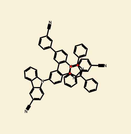 N#Cc1cccc(-c2ccc(-n3c4ccccc4c4cc(C#N)ccc43)c(-c3cc(-n4c5ccccc5c5cc(C#N)ccc54)ccc3-c3nc(-c4ccccc4)nc(-c4ccccc4)n3)c2)c1